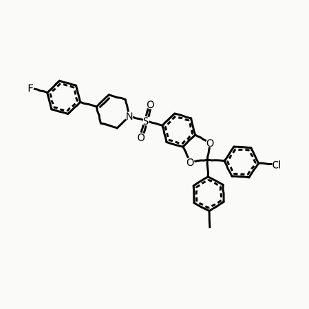 Cc1ccc(C2(c3ccc(Cl)cc3)Oc3ccc(S(=O)(=O)N4CC=C(c5ccc(F)cc5)CC4)cc3O2)cc1